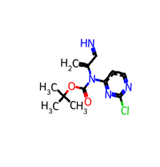 C=C(C=N)N(C(=O)OC(C)(C)C)c1ccnc(Cl)n1